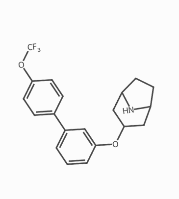 FC(F)(F)Oc1ccc(-c2cccc(OC3CC4CCC(C3)N4)c2)cc1